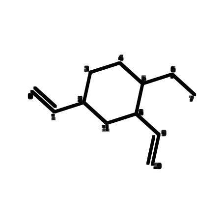 C=CC1CCC([CH]C)C(C=C)C1